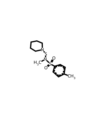 Cc1ccc(S(=O)(=O)N(C)SN2CCCCC2)cc1